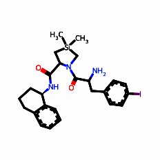 C[Si]1(C)CC(C(=O)N[C@@H]2CCCc3ccccc32)N(C(=O)C(N)Cc2ccc(I)cc2)C1